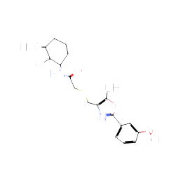 COc1cccc(-c2nc(CSCC(=O)NC3CCCC(C)C3C)c(C)o2)c1